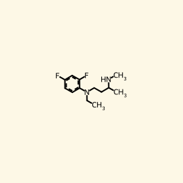 CCN(CCC(C)NC)c1ccc(F)cc1F